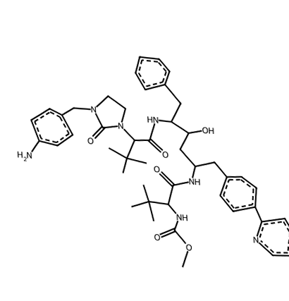 COC(=O)NC(C(=O)NC(Cc1ccc(-c2ccccn2)cc1)CC(O)C(Cc1ccccc1)NC(=O)C(N1CCN(Cc2ccc(N)cc2)C1=O)C(C)(C)C)C(C)(C)C